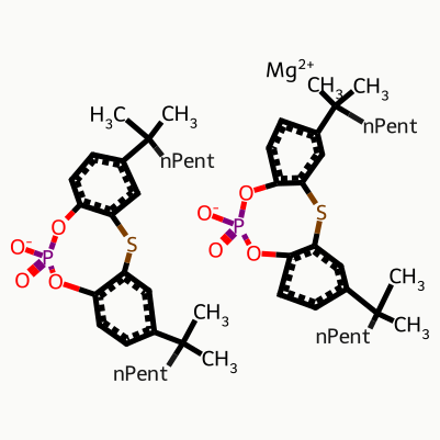 CCCCCC(C)(C)c1ccc2c(c1)Sc1cc(C(C)(C)CCCCC)ccc1OP(=O)([O-])O2.CCCCCC(C)(C)c1ccc2c(c1)Sc1cc(C(C)(C)CCCCC)ccc1OP(=O)([O-])O2.[Mg+2]